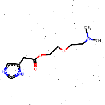 CN(C)CCOCCOC(=O)Cc1cnc[nH]1